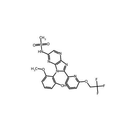 COc1cccc(O)c1-n1c(C2=C=C=CC(OCC(F)(F)F)=N2)nc2ncc(NS(C)(=O)=O)nc21